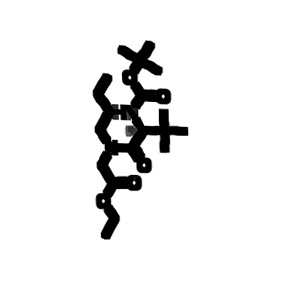 CCCCN(CC(=O)OCC)C(=O)[C@@H](NC(=O)OC(C)(C)C)C(C)(C)C